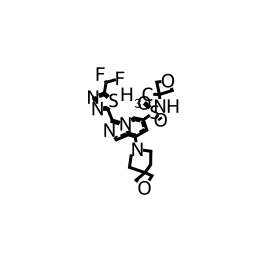 CC1(NS(=O)(=O)c2cc(N3CCC4(CC3)COC4)c3cnc(-c4nnc(C(F)F)s4)n3c2)COC1